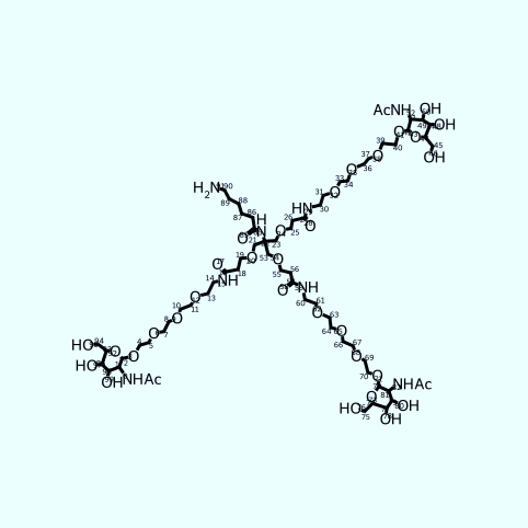 CC(=O)NC1C(OCCOCCOCCOCCNC(=O)CCOCC(COCCC(=O)NCCOCCOCCOCCOC2OC(CO)C(O)C(O)C2NC(C)=O)(COCCC(=O)NCCOCCOCCOCCOC2OC(CO)C(O)C(O)C2NC(C)=O)NC(=O)CCCCCN)OC(CO)C(O)C1O